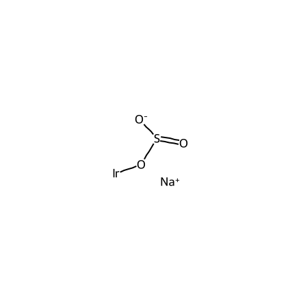 O=S([O-])[O][Ir].[Na+]